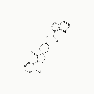 O=C(N[C@H]1CC[C@@]2(CCN(c3cnccc3Cl)C2=O)CC1)c1cnn2cccnc12